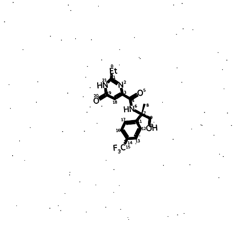 CCc1nc(C(=O)N[C@](C)(CO)c2ccc(C(F)(F)F)cc2)cc(=O)[nH]1